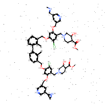 C/N=C/c1cncc(COc2cc(OCc3cccc(-c4cccc(COc5cc(OCc6cncc(C7=NC7)c6)c(CN6CCC(C(=O)OC)C(O)C6)cc5Cl)c4C)c3C)c(Cl)cc2CN2CCC(C(=O)OC)C(O)C2)c1